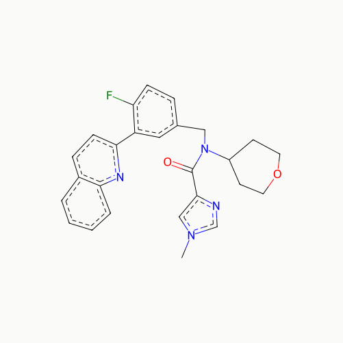 Cn1cnc(C(=O)N(Cc2ccc(F)c(-c3ccc4ccccc4n3)c2)C2CCOCC2)c1